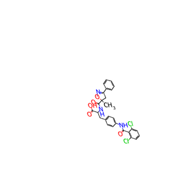 CC1(C(=O)NC(Cc2ccc(NC(=O)c3c(Cl)cccc3Cl)cc2)C(=O)O)CC(c2ccccc2)=NO1